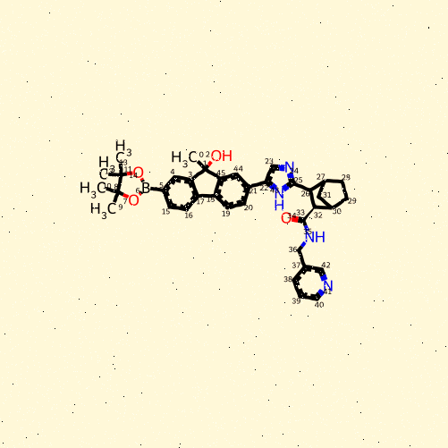 CC1(O)c2cc(B3OC(C)(C)C(C)(C)O3)ccc2-c2ccc(-c3cnc(C4C5CCC(C5)[C@H]4C(=O)NCc4cccnc4)[nH]3)cc21